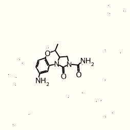 CC1Oc2ccc(N)cc2N2C(=O)N(C(N)=O)CC12